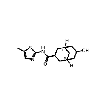 Cc1cnc(NC(=O)C2C[C@H]3CC(O)C[C@@H](C2)C3)s1